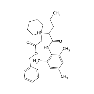 CCCC(C(=O)Nc1c(C)cc(C)cc1C)[PH]1(CC(=O)OCc2ccccc2)CCCCC1